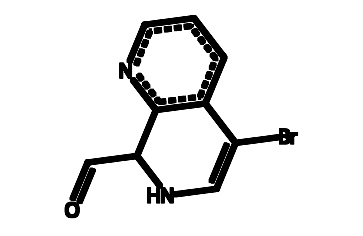 O=CC1NC=C(Br)c2cccnc21